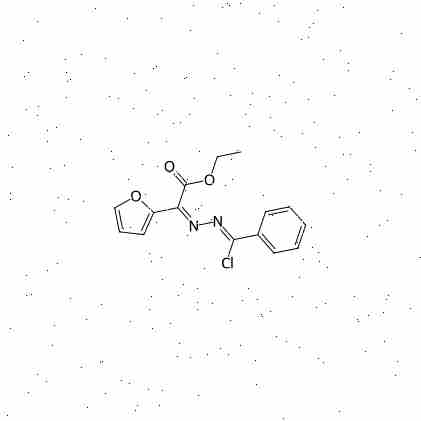 CCOC(=O)C(=NN=C(Cl)c1ccccc1)c1ccco1